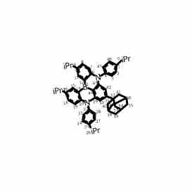 CC(C)c1ccc(N2c3ccc(C(C)C)cc3B3c4cc(C(C)C)ccc4N(c4ccc(C(C)C)cc4)c4cc(C56CC7CC(CC(C7)C5)C6)cc2c43)cc1